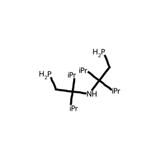 CC(C)C(CP)(NC(CP)(C(C)C)C(C)C)C(C)C